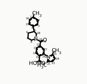 Cc1ccc(C2CCCN(C(=O)c3ccc(C(=O)O)c(-n4c(C)ccc4C)c3)C2)cc1